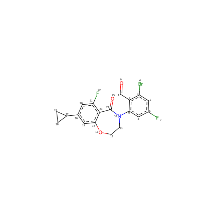 O=Cc1c(Br)cc(F)cc1N1CCOc2cc(C3CC3)cc(F)c2C1=O